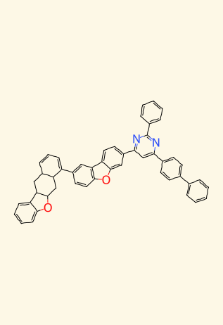 C1=CC2CC3c4ccccc4OC3CC2C(c2ccc3oc4cc(-c5cc(-c6ccc(-c7ccccc7)cc6)nc(-c6ccccc6)n5)ccc4c3c2)=C1